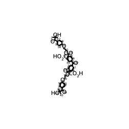 CC(C)(O)C(=O)c1ccc(OCCOC(=O)C2(C(=O)O)C=CC(C(=O)C3C=CC(C(=O)O)(C(=O)OCCOc4ccc(C(=O)C(C)(C)O)cc4)C=C3)C=C2)cc1